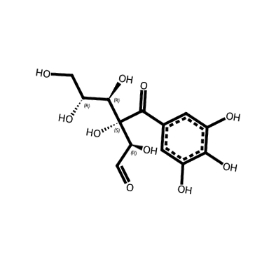 O=C[C@H](O)[C@](O)(C(=O)c1cc(O)c(O)c(O)c1)[C@H](O)[C@H](O)CO